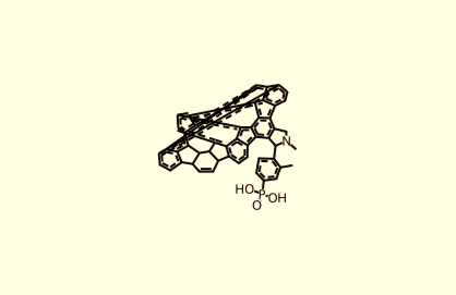 Cc1cc(P(=O)(O)O)ccc1C1c2c(c3c4ccc5c6ccc7c8c9c%10c%11c%12c%13c(ccc%14c2c2c3c3c4c5c(c86)c%10c3c%11c2c%13%14)C2C=CC7C9C%122)CN1C